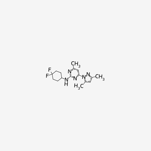 Cc1cc(-n2nc(C)cc2C)nc(NC2CCC(F)(F)CC2)n1